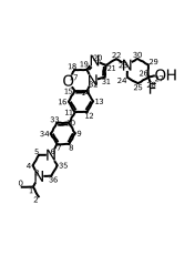 CC(C)N1CCN(c2ccc(-c3ccc4c(c3)OCc3nc(CN5CCC(O)(F)CC5)cn3-4)cc2)CC1